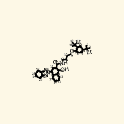 CCC(C)(C)c1ccc(OCCCCNC(=O)c2cc(-n3nc4ccccc4n3)c3ccccc3c2O)c(C(C)(C)CC)c1